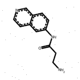 NCCC(=O)Nc1ccc2cnccc2c1